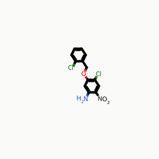 Nc1cc(OCc2ccccc2Cl)c(Cl)cc1[N+](=O)[O-]